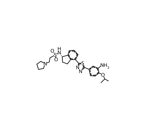 CC(C)Oc1ccc(-c2nnc(-c3cccc4c3CC[C@@H]4NS(=O)(=O)CCN3CCCC3)s2)cc1N